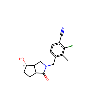 Cc1c(CN2CC3C(CC[C@@H]3O)C2=O)ccc(C#N)c1Cl